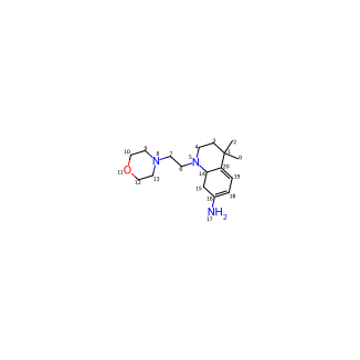 CC1(C)CCN(CCN2CCOCC2)C2CC(N)=CC=C21